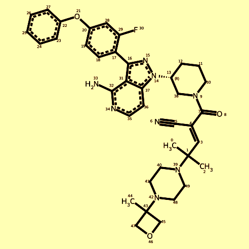 CC(C)(C=C(C#N)C(=O)N1CCC[C@@H](n2nc(-c3ccc(Oc4ccccc4)cc3F)c3c(N)nccc32)C1)N1CCN(C2(C)COC2)CC1